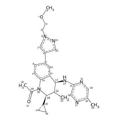 COCCn1cc(-c2ccc3c(c2)[C@@H](Nc2cnc(C)cn2)C(C)[C@@H](C2CC2)N3C(C)=O)cn1